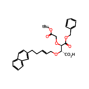 CC(C)(C)OC(=O)CO[C@@H](C(=O)OCc1ccccc1)[C@@H](OCC=CCCc1ccc2ccccc2c1)C(=O)O